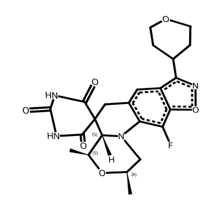 C[C@@H]1CN2c3c(cc4c(C5CCOCC5)noc4c3F)CC3(C(=O)NC(=O)NC3=O)[C@H]2[C@H](C)O1